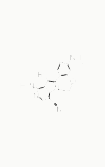 N#Cc1cnc(N)c2c(Br)c3n(c12)CCOc1cc(N)ccc1-3